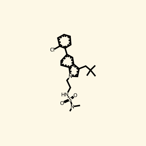 CN(C)S(=O)(=O)NCCn1cc(CC(C)(C)C)c2cc(-c3ccccc3Cl)ccc21